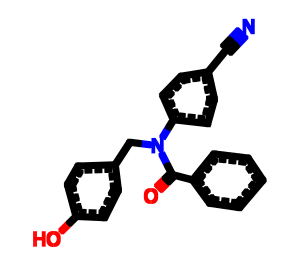 N#Cc1ccc(N(Cc2ccc(O)cc2)C(=O)c2ccccc2)cc1